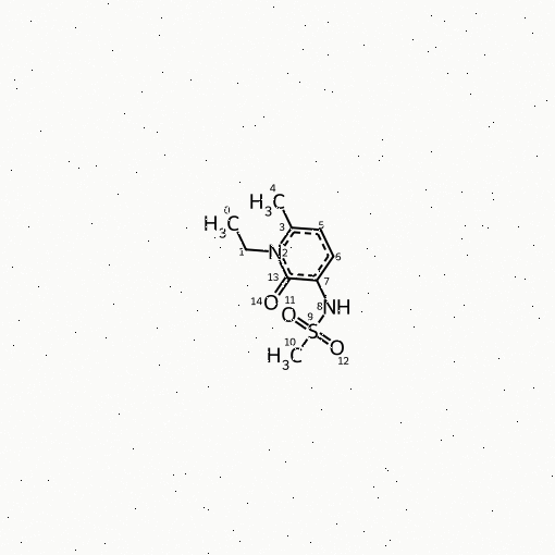 CCn1c(C)ccc(NS(C)(=O)=O)c1=O